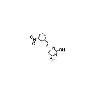 O=[N+]([O-])c1cccc(C=Cc2nc(O)nc(O)n2)c1